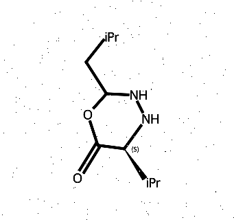 CC(C)CC1NN[C@@H](C(C)C)C(=O)O1